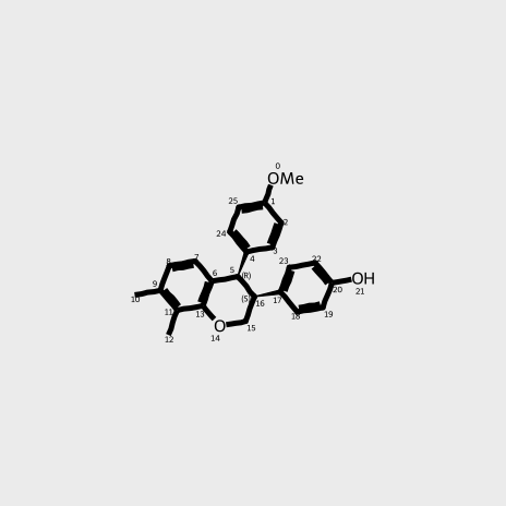 COc1ccc([C@@H]2c3ccc(C)c(C)c3OC[C@@H]2c2ccc(O)cc2)cc1